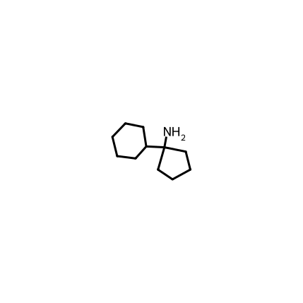 NC1(C2CCCCC2)CCCC1